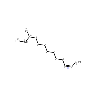 CCCCCCCC/C=C\CCCCCCCC(CC)NO